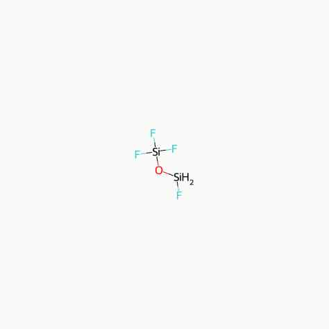 F[SiH2]O[Si](F)(F)F